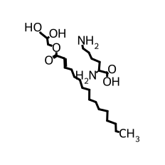 CCCCCCCCCCCCCC=CC(=O)OCC(O)CO.NCCCC[C@H](N)C(=O)O